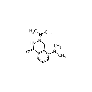 CN(C)c1cccc2c1CN(N(C)C)NC2=O